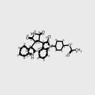 CC(=O)OC1CCC(n2c(Cl)c(C3=C(c4c[nH]c5ccccc45)C(=O)NC3=O)c3ccccc32)CC1